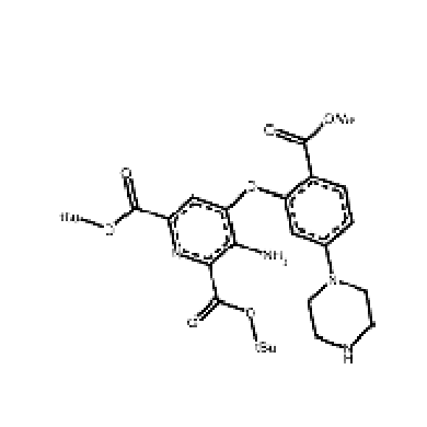 COC(=O)c1ccc(N2CCNCC2)cc1Oc1cc(C(=O)OC(C)(C)C)nc(C(=O)OC(C)(C)C)c1N